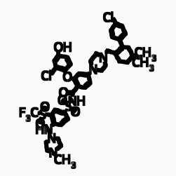 CN1CCN(Nc2ccc(S(=O)(=O)NC(=O)c3ccc(N4CCN(CC5=C(c6ccc(Cl)cc6)CC(C)(C)CC5)CC4)cc3Oc3ccc(O)cc3Cl)cc2S(=O)(=O)C(F)(F)F)CC1